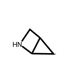 [CH]1C2CNC12